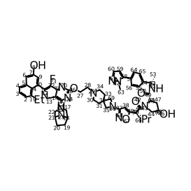 CCc1cccc2cc(O)cc(-c3ncc4c(N5CC6CCC(C5)N6)nc(OCCN5CCC6(CC5)CN(c5cc([C@@H](C(=O)N7C[C@H](O)C[C@H]7C(=O)N[C@@H](C)c7ccc(-c8ccnn8C)cc7)C(C)C)on5)C6)nc4c3F)c12